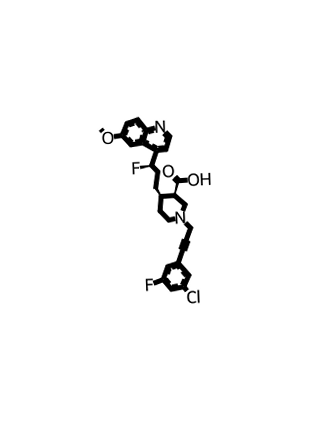 COc1ccc2nccc([C@H](F)CC[C@@H]3CCN(CC#Cc4cc(F)cc(Cl)c4)C[C@@H]3C(=O)O)c2c1